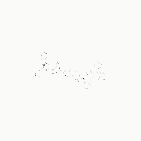 N#Cc1cc(-c2ccc(-c3ccc(-n4c5ccccc5c5cc(N(c6ccccc6)c6ccccc6)ccc54)cc3)cc2)cc(C#N)c1-c1cc(-c2ccccc2)nc(-c2ccccc2)n1